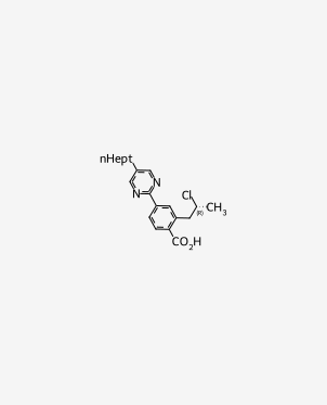 CCCCCCCc1cnc(-c2ccc(C(=O)O)c(C[C@@H](C)Cl)c2)nc1